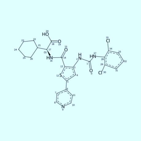 O=C(Nc1cc(-c2ccncc2)sc1C(=O)N[C@H](C(=O)O)C1CCCCC1)Nc1c(Cl)cccc1Cl